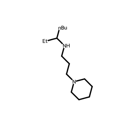 CCCCC(CC)NCCCN1CCCCC1